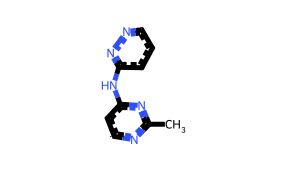 Cc1n[c]cc(Nc2cccnn2)n1